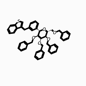 c1ccc(COC[C@H]2O[C@@H](c3cccc(Cc4csc5ccccc45)c3)[C@H](OCc3ccccc3)[C@@H](OCc3ccccc3)[C@@H]2OCc2ccccc2)cc1